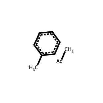 CC(C)=O.Cc1ccccc1